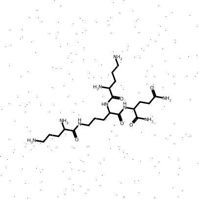 NCCCC(N)C(=O)NCCCC(NC(=O)C(N)CCCN)C(=O)NC(CCC(N)=O)C(N)=O